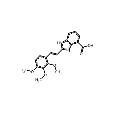 COc1ccc(/C=C/c2nc3c(C(=O)O)cccc3[nH]2)c(OC)c1OC